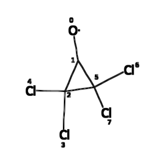 [O]C1C(Cl)(Cl)C1(Cl)Cl